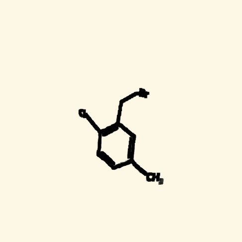 Cc1ccc(Cl)c(CBr)c1